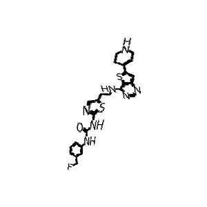 O=C(Nc1cccc(CF)c1)Nc1ncc(CCNc2ncnc3cc(C4=CCNCC4)sc23)s1